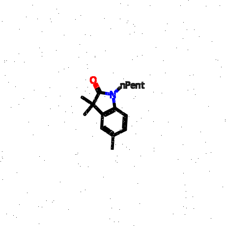 CCCCCN1C(=O)C(C)(C)c2cc(C)ccc21